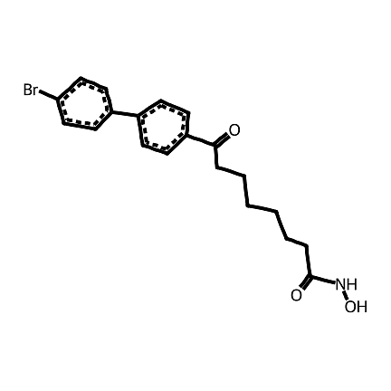 O=C(CCCCCCC(=O)c1ccc(-c2ccc(Br)cc2)cc1)NO